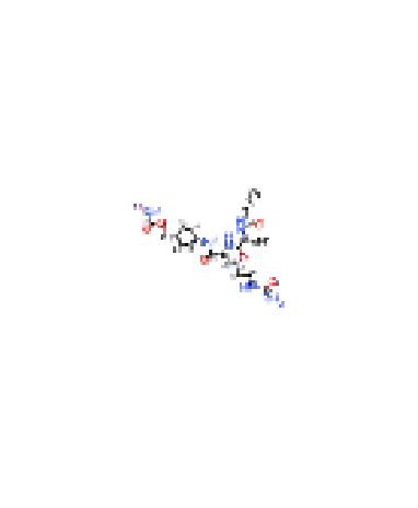 CC(C)CCC(=O)N[C@H](C(=O)N[C@@H](/C=C/CCNC(N)=O)C(=O)Nc1ccc(COC(=O)NI)cc1)C(C)C